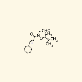 CC(ON(C[C]=O)C(=O)/C=C/c1ccccc1)N(C)C